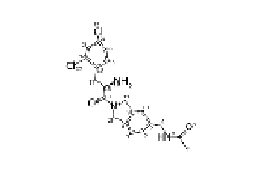 CC(=O)NCc1ccc2c(c1)CN(C(=O)[C@H](N)Cc1ccc(Cl)cc1Cl)C2